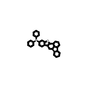 c1ccc(N(c2ccccc2)c2ccc3c(c2)oc2c4cccc5c4c(cc32)-c2ccccc2-5)cc1